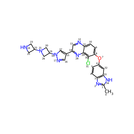 Cc1nc2ccc(Oc3ccc4ncc(-c5cnn(C6CN(C7CNC7)C6)c5)nc4c3Cl)cc2[nH]1